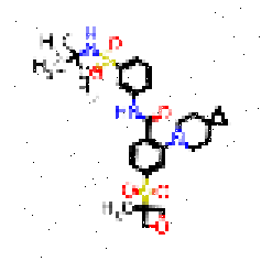 CC(C)(C)NS(=O)(=O)c1cccc(NC(=O)c2ccc(S(=O)(=O)C3(C)COC3)cc2N2CCC3(CC2)CC3)c1